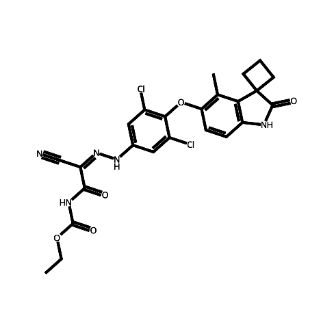 CCOC(=O)NC(=O)C(C#N)=NNc1cc(Cl)c(Oc2ccc3c(c2C)C2(CCC2)C(=O)N3)c(Cl)c1